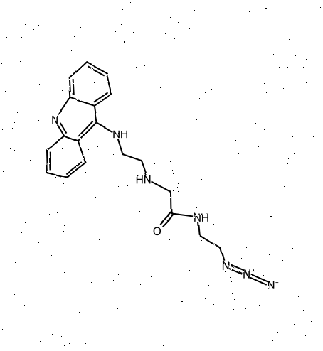 [N-]=[N+]=NCCNC(=O)CNCCNc1c2ccccc2nc2ccccc12